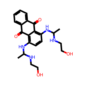 CC(NCCO)Nc1ccc(NC(C)NCCO)c2c1C(=O)c1ccccc1C2=O